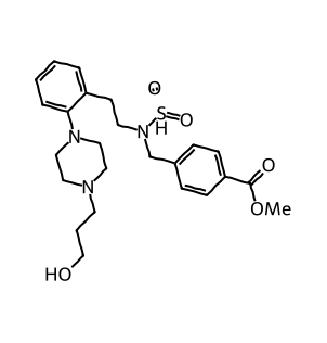 COC(=O)c1ccc(CN(CCc2ccccc2N2CCN(CCCO)CC2)[SH](=O)=O)cc1